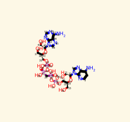 Nc1ccnc2c1ncn2[C@@H](CO)O[C@@H](CO)COP(=O)(O)OP(=O)(O)CP(=O)(O)OP(=O)(O)OC[C@H](CO)O[C@H](CO)n1cnc2c(N)ncnc21